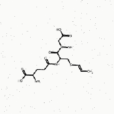 CC=CSCC(NC(=O)CCC(N)C(=O)O)C(=O)N(S)CC(=O)O